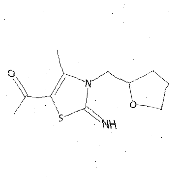 CC(=O)c1sc(=N)n(CC2CCCO2)c1C